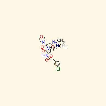 CC(=NC(=O)C[C@@H](C(=O)N1CCOCC1)N1CC[C@H](NS(=O)(=O)CCc2ccc(Cl)s2)C1=O)N(C)C